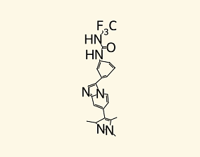 Cc1nn(C)c(C)c1-c1ccn2c(-c3cccc(NC(=O)NCC(F)(F)F)c3)cnc2c1